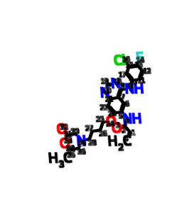 C=CC(=O)Nc1cc2c(Nc3ccc(F)c(Cl)c3)ncnc2cc1OCCCCN1CC(=O)O[C@@H](C)C1